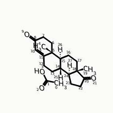 CC(=O)O.C[C@]12CCC(=O)C=C1CC[C@@H]1[C@@H]2CC[C@]2(C)C(=O)CC[C@@H]12